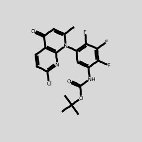 Cc1cc(=O)c2ccc(Cl)nc2n1-c1cc(NC(=O)OC(C)(C)C)c(F)c(F)c1F